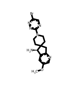 COc1cnc2c(c1)[C@@H](N)C1(CCN(c3ncc(Br)nn3)CC1)C2